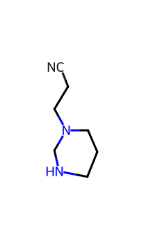 N#CCCN1CCCNC1